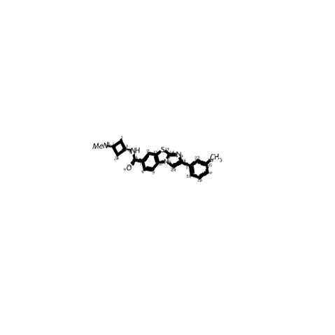 CN[C@H]1C[C@@H](NC(=O)c2ccc3c(c2)sc2nc(-c4cccc(C)c4)cn23)C1